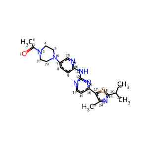 CC(=O)N1CCN(c2ccc(Nc3nccc(-c4sc(C(C)C)nc4C)n3)nc2)CC1